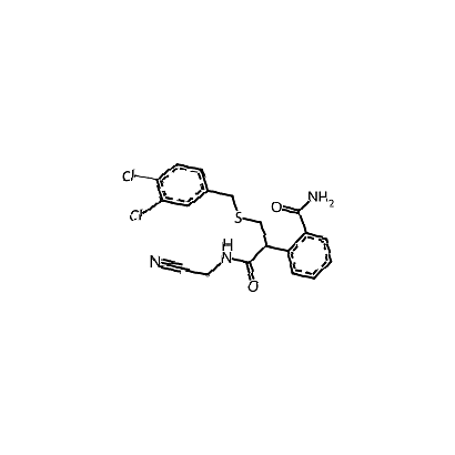 N#CCNC(=O)C(CSCc1ccc(Cl)c(Cl)c1)c1ccccc1C(N)=O